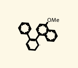 COc1ccc(C2=C(c3ccccc3)C=CC[CH]2)c2ccccc12